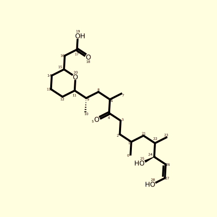 CC(CCC(=O)C(C)C[C@H](C)C1CCCC(CC(=O)O)O1)CC(C)[C@H](O)/C=C\O